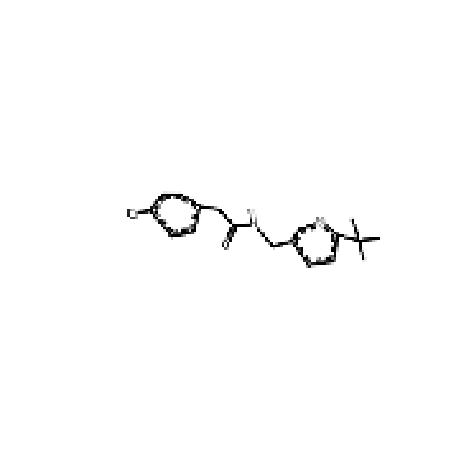 CC(C)(C)c1ccc(CNC(=O)Cc2ccc(Cl)cc2)cn1